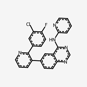 Fc1ccc(-c2ncccc2-c2ccc3ncnc(Nc4ccccn4)c3c2)cc1Cl